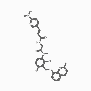 CC(=O)N(C)c1ccc(/C=C/C(=O)NCC(=O)N(C)c2ccc(Cl)c(COc3cccc4ccc(C)nc34)c2Cl)cn1